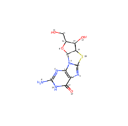 Nc1nc2c(nc3n2C2OC(CO)C(O)C2S3)c(=O)[nH]1